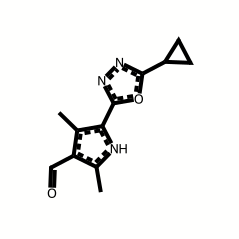 Cc1[nH]c(-c2nnc(C3CC3)o2)c(C)c1C=O